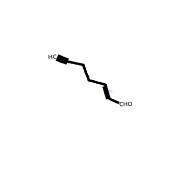 C#CCC/C=C/C=O